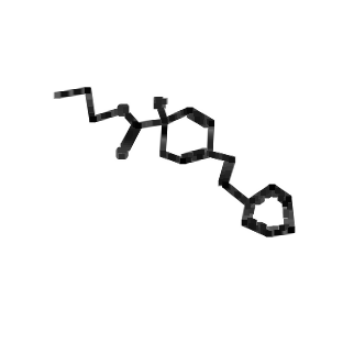 CCCOC(=O)C1(Br)C=CC(C=Cc2ccccc2)=CC1